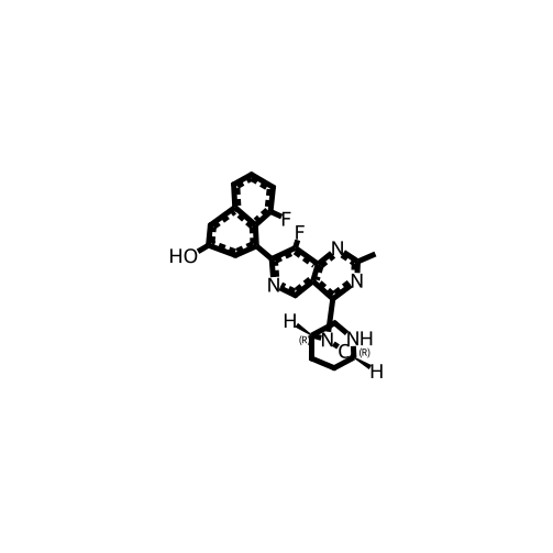 Cc1nc(N2C[C@H]3CC[C@@H]2CN3)c2cnc(-c3cc(O)cc4cccc(F)c34)c(F)c2n1